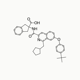 CC(C)(C)c1ccc(Oc2ccc3cc(C(=O)NC4(C(=O)O)Cc5ccccc5C4)nc(CC4CCCC4)c3c2)cc1